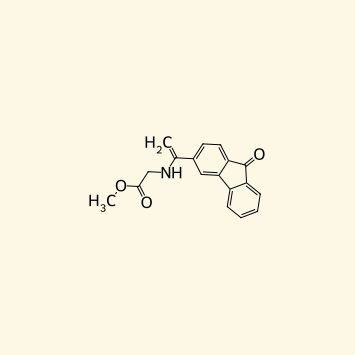 C=C(NCC(=O)OC)c1ccc2c(c1)-c1ccccc1C2=O